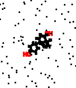 CCCc1c(-c2ccc(O)cc2)ccc(O)c1C